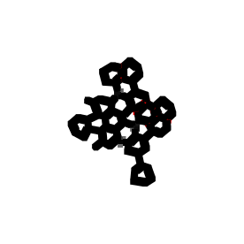 Cc1ccc2c(N(c3ccccc3)c3c(F)cc(-c4ccccc4)cc3-c3ccccc3)cc3c(N(c4ccccc4)c4c(F)cc(-c5ccccc5)cc4-c4ccccc4)cc(C)c4c5ccccc5c1c2c34